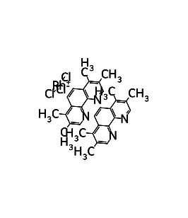 Cc1cnc2c(ccc3c(C)c(C)cnc32)c1C.Cc1cnc2c(ccc3c(C)c(C)cnc32)c1C.[Cl-].[Cl][Rh+][Cl]